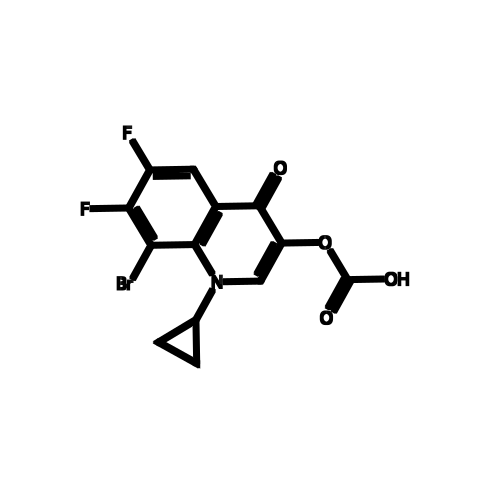 O=C(O)Oc1cn(C2CC2)c2c(Br)c(F)c(F)cc2c1=O